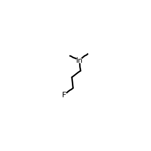 [CH3][In]([CH3])[CH2]CCF